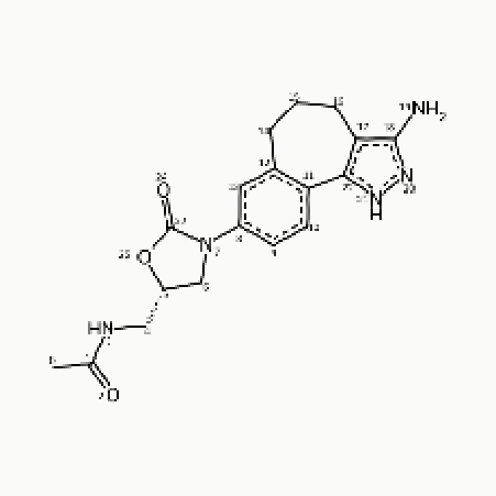 CC(=O)NC[C@H]1CN(c2ccc3c(c2)CCCc2c(N)n[nH]c2-3)C(=O)O1